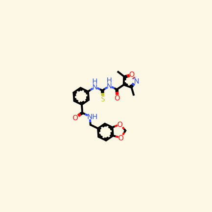 Cc1noc(C)c1C(=O)NC(=S)Nc1cccc(C(=O)NCc2ccc3c(c2)OCO3)c1